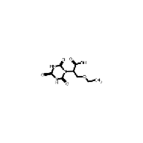 CCOCC(C(=O)O)n1c(=O)[nH]c(=O)[nH]c1=O